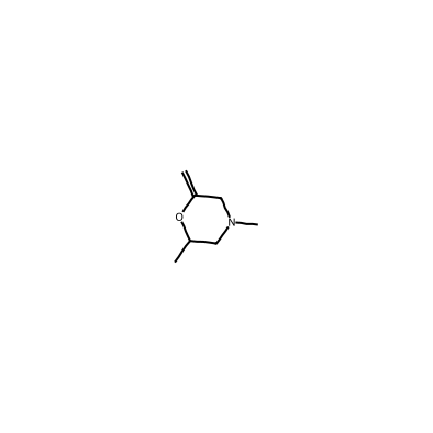 C=C1CN(C)CC(C)O1